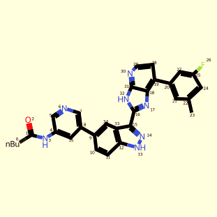 CCCCC(=O)Nc1cncc(-c2ccc3[nH]nc(-c4nc5c(-c6cc(C)cc(F)c6)ccnc5[nH]4)c3c2)c1